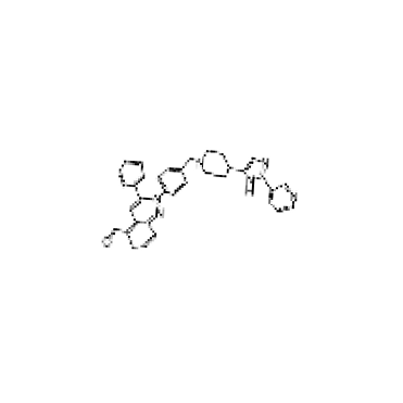 O=CC1=C2C=C(c3ccccc3)N(c3ccc(CN4CCC(c5cnc(-c6cccnc6)[nH]5)CC4)cc3)N=C2C=CC1